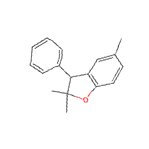 Cc1ccc2c(c1)C(c1ccccc1)C(C)(C)O2